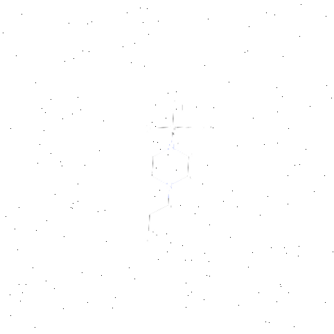 CCCCCC[Si](C)(C)N1CCN(CCC#N)CC1